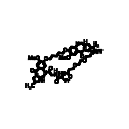 C=C1C[C@H]2CN(C(=O)CNC(=O)[C@@H](NC(=O)CCOCCOCCN=[N+]=[N-])C(C)C)c3cc(OCCCCCOc4cc5c(cc4OC)C(=O)N4CC(=C)C[C@H]4C=N5)c(OC)cc3C(=O)N2C1